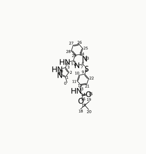 Cc1cc(Nc2nc(Sc3ccc(NC(=O)OC(C)(C)C)cc3)nc3ccccc23)[nH]n1